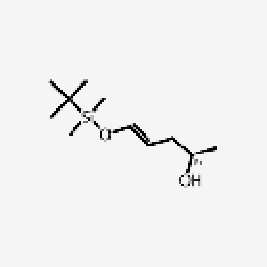 C[C@@H](O)CC=CO[Si](C)(C)C(C)(C)C